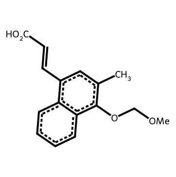 COCOc1c(C)cc(/C=C/C(=O)O)c2ccccc12